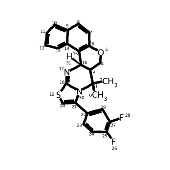 CC1(C)C2COc3ccc4ccccc4c3[C@H]2N=C2SC=C(c3ccc(F)c(F)c3)N21